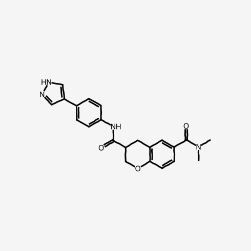 CN(C)C(=O)c1ccc2c(c1)CC(C(=O)Nc1ccc(-c3cn[nH]c3)cc1)CO2